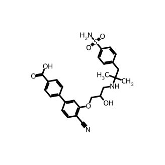 CC(C)(Cc1ccc(S(N)(=O)=O)cc1)NCC(O)COc1cc(-c2ccc(C(=O)O)cc2)ccc1C#N